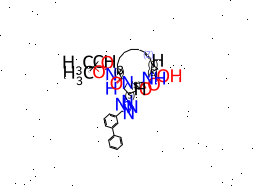 CC(C)(C)OC(=O)N[C@@H]1CCCCC/C=C\[C@@H]2C[C@]2(C(=O)O)NC(=O)[C@@H]2C[C@H](n3nnc(-c4cccc(-c5ccccc5)c4)n3)CN2C1=O